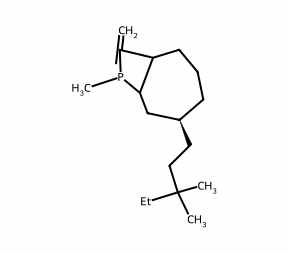 C=C1C2CCC[C@@H](CCC(C)(C)CC)CC2P1C